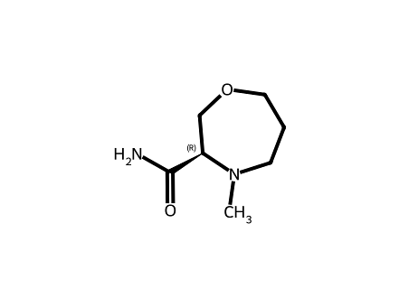 CN1CCCOC[C@@H]1C(N)=O